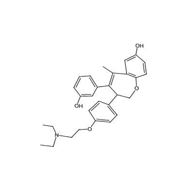 CCN(CC)CCOc1ccc(C2COc3ccc(O)cc3C(C)=C2c2cccc(O)c2)cc1